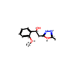 Cc1nnc(CC(O)c2ccccc2OC(F)(F)F)o1